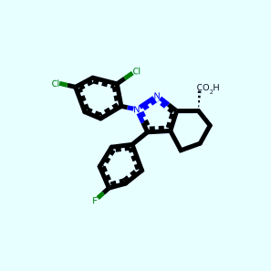 O=C(O)[C@@H]1CCCc2c1nn(-c1ccc(Cl)cc1Cl)c2-c1ccc(F)cc1